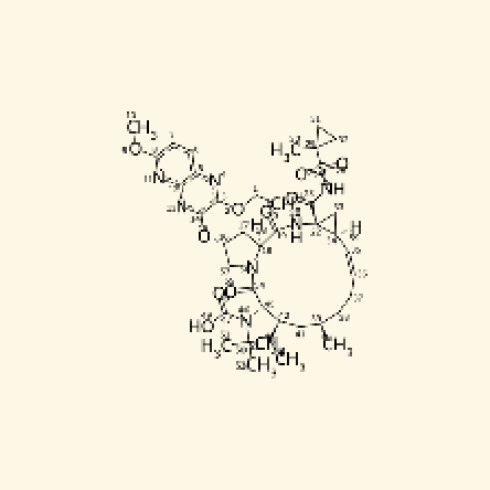 CCOc1nc2ccc(OC)nc2nc1O[C@@H]1C[C@H]2C(=O)N[C@]3(C(=O)NS(=O)(=O)C4(C)CC4)C[C@H]3C=CCC[C@@H](C)C[C@@H](CC)[C@H](N(C(=O)O)C(C)(C)C)C(=O)N2C1